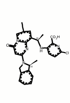 Cc1cc([C@@H](C)Nc2ccc(Cl)nc2C(=O)O)c2nc(N3Cc4ccccc4[C@@H]3C)cc(=O)n2c1